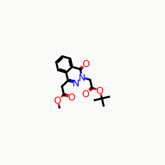 COC(=O)Cc1nn(CC(=O)OC(C)(C)C)c(=O)c2ccccc12